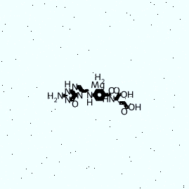 Nc1nc(=O)c2nc(CNc3ccc(C(=O)N[C@@H](CCC(=O)O)C(=O)O)cc3)cnc2[nH]1.[MgH2]